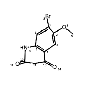 COc1cc2c(cc1Br)NC(=O)CC2=O